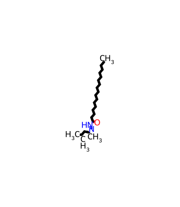 CCCCCCCCCCCCCCCCCC(=O)NN=C(C)CC(C)C